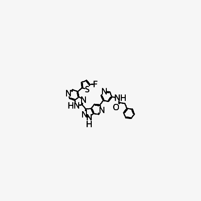 O=C(Cc1ccccc1)Nc1cncc(-c2cc3c(-c4nc5c(-c6ccc(F)s6)cncc5[nH]4)n[nH]c3cn2)c1